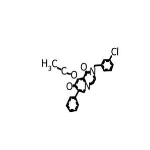 CCCCOc1c(=O)c(-c2ccccc2)cn2ccn(Cc3cccc(Cl)c3)c(=O)c12